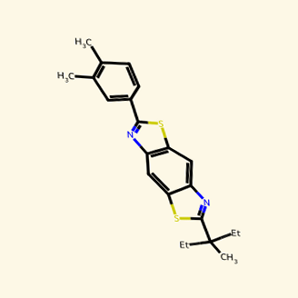 CCC(C)(CC)c1nc2cc3sc(-c4ccc(C)c(C)c4)nc3cc2s1